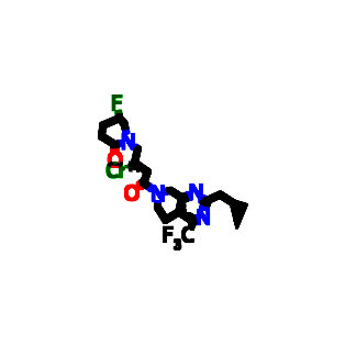 O=C(C[C@H](Cl)CN1CC(F)CCC1=O)N1CCc2c(nc(CC3CC3)nc2C(F)(F)F)C1